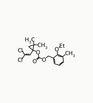 CCOc1c(C)cccc1COC(=O)OC1(C=C(Cl)Cl)CC1(C)C